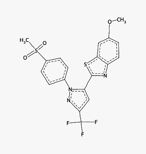 COc1ccc2nc(-c3cc(C(F)(F)F)nn3-c3ccc(S(C)(=O)=O)cc3)sc2c1